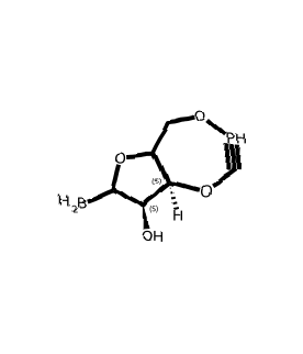 BC1OC2CO[PH]#CO[C@H]2[C@H]1O